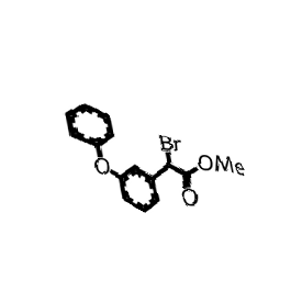 COC(=O)C(Br)c1cccc(Oc2ccccc2)c1